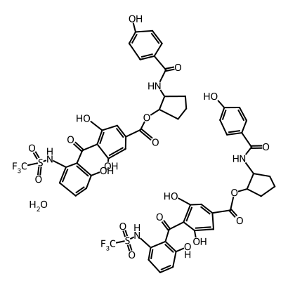 O.O=C(NC1CCCC1OC(=O)c1cc(O)c(C(=O)c2c(O)cccc2NS(=O)(=O)C(F)(F)F)c(O)c1)c1ccc(O)cc1.O=C(NC1CCCC1OC(=O)c1cc(O)c(C(=O)c2c(O)cccc2NS(=O)(=O)C(F)(F)F)c(O)c1)c1ccc(O)cc1